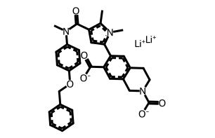 Cc1c(C(=O)N(C)c2ccc(OCc3ccccc3)cc2)cc(-c2cc3c(cc2C(=O)[O-])CN(C(=O)[O-])CC3)n1C.[Li+].[Li+]